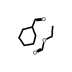 CCOC=O.O=CC1CCCCC1